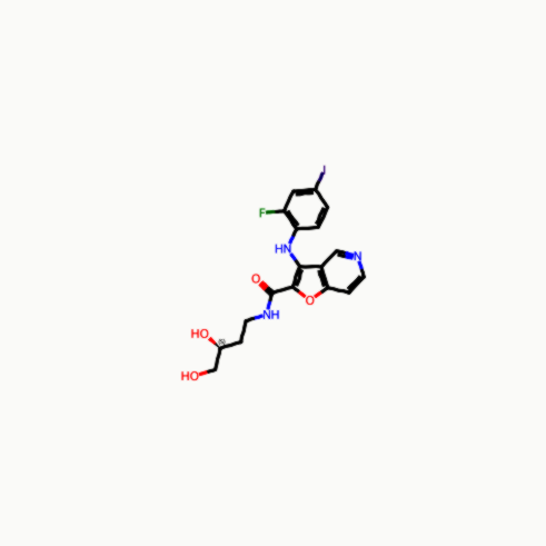 O=C(NCC[C@H](O)CO)c1oc2ccncc2c1Nc1ccc(I)cc1F